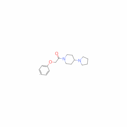 O=C(COc1cc[c]cc1)N1CCC(N2CCCC2)CC1